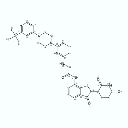 O=C1CCC(N2Cc3c(NC(=O)CNc4ccnc(N5CCN(c6cccc(C(F)(F)F)c6)CC5)n4)cccc3C2=O)C(=O)N1